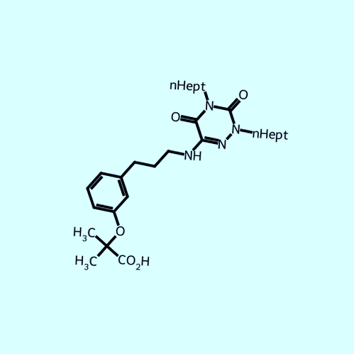 CCCCCCCn1nc(NCCCc2cccc(OC(C)(C)C(=O)O)c2)c(=O)n(CCCCCCC)c1=O